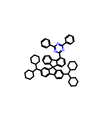 c1ccc(-c2nc(-c3ccccc3)nc(-c3cccc4c3-c3ccccc3C43c4cc(C(C5CCCCC5)C5CCCCC5)ccc4-c4ccc(C(C5CCCCC5)C5CCCCC5)cc43)n2)cc1